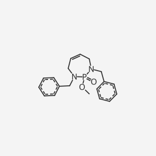 COP1(=O)N(Cc2ccccc2)CC=CCN1Cc1ccccc1